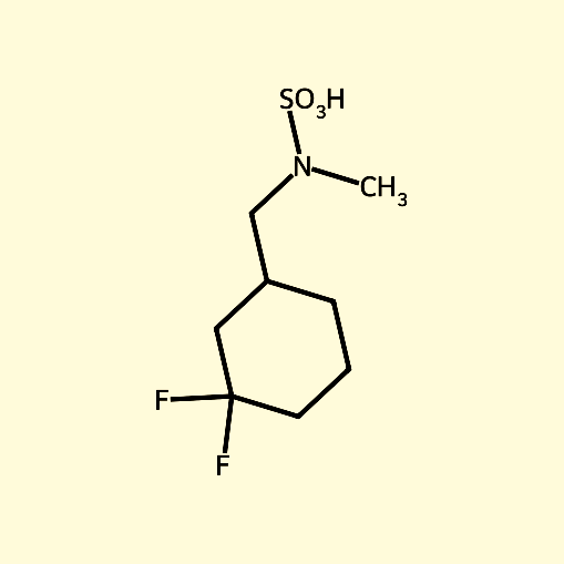 CN(CC1CCCC(F)(F)C1)S(=O)(=O)O